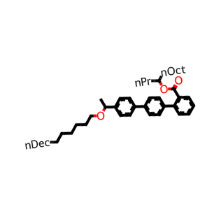 CCCCCCCCCCCCCCCCOC(C)c1ccc(-c2ccc(-c3ccccc3C(=O)OC(CCC)CCCCCCCC)cc2)cc1